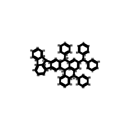 c1ccc(N(c2ccccc2)c2cc3c4c(c2)N(c2ccccc2)c2cc5c(cc2B4c2ccccc2N3c2ccccc2)c2cccc3c4ccccc4n5c32)cc1